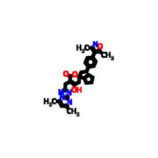 Cc1cc(C)n2nc(CC3=C(O)CC(CCc4ccc(-c5c(C)noc5C)cc4)(C4CCCC4)OC3=O)nc2n1